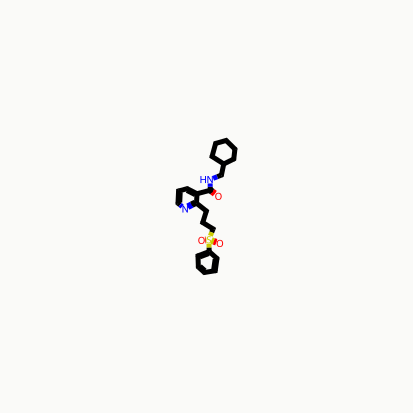 O=C(NCC1CCCCC1)c1cccnc1CCCS(=O)(=O)c1ccccc1